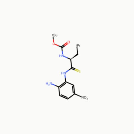 CC(C)C[C@H](NC(=O)OC(C)(C)C)C(=S)Nc1cc([N+](=O)[O-])ccc1N